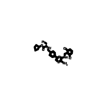 CC(C)C[C@H](NCc1ccc(-c2cnc(N)c(NCc3c(Cl)cccc3Cl)n2)cc1)C(=O)OC1CCCC1